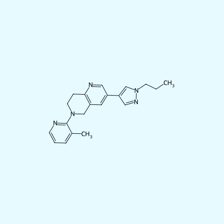 CCCn1cc(-c2cnc3c(c2)CN(c2ncccc2C)CC3)cn1